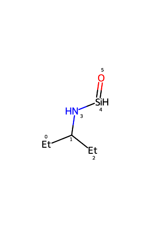 CCC(CC)N[SiH]=O